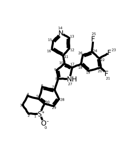 [O-][S+]1CCCc2cc(-c3cc(-c4ccncc4)c(-c4cc(F)c(F)c(F)c4)[nH]3)ccc21